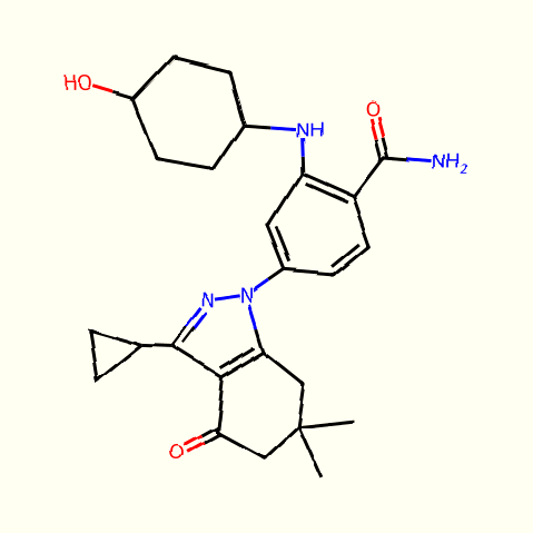 CC1(C)CC(=O)c2c(C3CC3)nn(-c3ccc(C(N)=O)c(NC4CCC(O)CC4)c3)c2C1